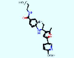 COc1ccc(-c2cc(C(CC(C)C)Nc3ccc(C(=O)NCCC(=O)O)cc3)c(C)o2)cn1